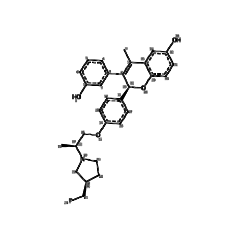 CC1=C(c2cccc(O)c2)[C@H](c2ccc(OC[C@H](C)N3CC[C@@H](CF)C3)cc2)Oc2ccc(O)cc21